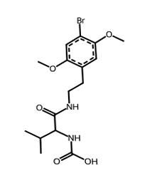 COc1cc(CCNC(=O)C(NC(=O)O)C(C)C)c(OC)cc1Br